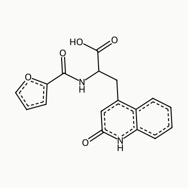 O=C(NC(Cc1cc(=O)[nH]c2ccccc12)C(=O)O)c1ccco1